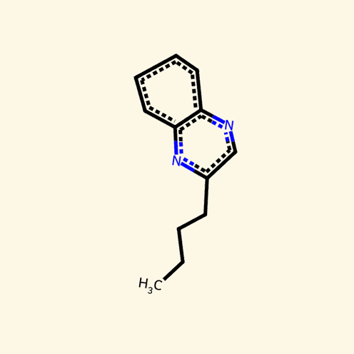 CCCCc1cnc2ccccc2n1